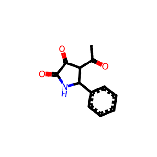 CC(=O)C1C(=O)C(=O)NC1c1ccccc1